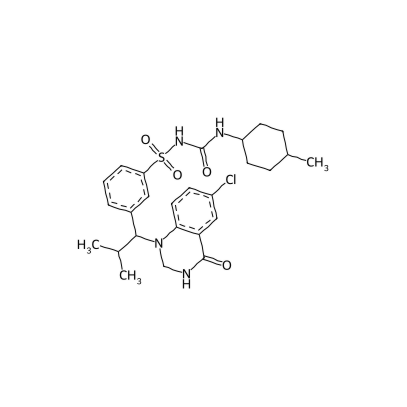 CC1CCC(NC(=O)NS(=O)(=O)c2cccc(C(C(C)C)N3CNC(=O)c4cc(Cl)ccc43)c2)CC1